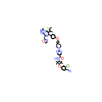 Cc1sc2c(c1C)C(c1ccc(OC3CC4(CCN(c5ncc(C(=O)NC6C(C)(C)C(Oc7ccc(C#N)c(Cl)c7)C6(C)C)cn5)CC4)C3)cc1)=N[C@H](Cc1ncco1)c1nnc(C)n1-2